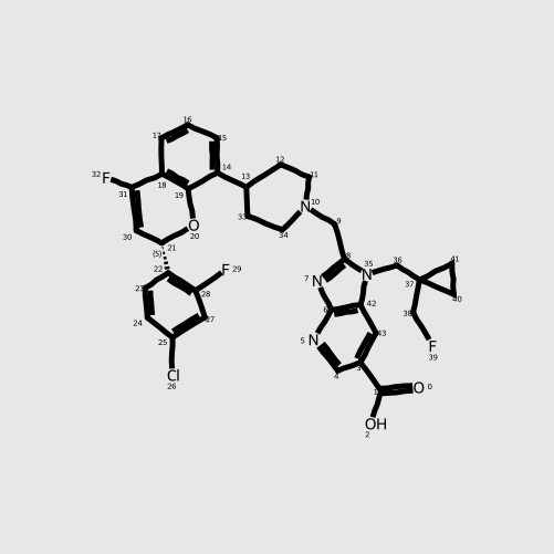 O=C(O)c1cnc2nc(CN3CCC(c4cccc5c4O[C@H](c4ccc(Cl)cc4F)C=C5F)CC3)n(CC3(CF)CC3)c2c1